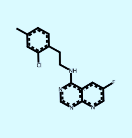 Cc1ccc(CCNc2ncnc3ncc(F)cc23)c(Cl)c1